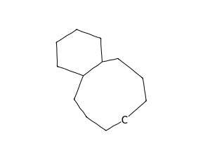 C1CCCC2CCCCC2CCC1